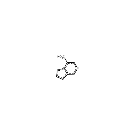 O=C(O)c1cncc2cccn12